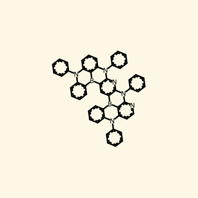 c1ccc(N2c3ccccc3B3c4cc5c(nc4N(c4ccccc4)c4cccc2c43)N(c2ccccc2)c2nccc3c2B5c2ccccc2N3c2ccccc2)cc1